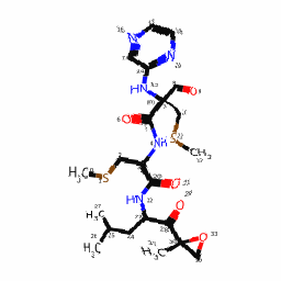 CSCC(NC(=O)[C@](C=O)(CSC)Nc1cnccn1)C(=O)NC(CC(C)C)C(=O)C1(C)CO1